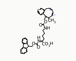 C=C1/C=C\C=C/Cc2ccccc2[C@@H]1COC(=O)NCCCC[C@H](NC(=O)OCC1c2ccccc2-c2ccccc21)C(=O)O